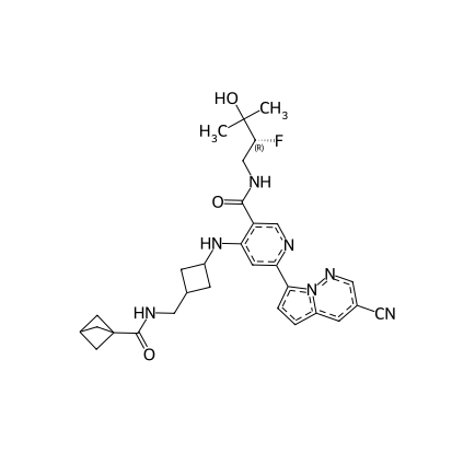 CC(C)(O)[C@H](F)CNC(=O)c1cnc(-c2ccc3cc(C#N)cnn23)cc1NC1CC(CNC(=O)C23CC(C2)C3)C1